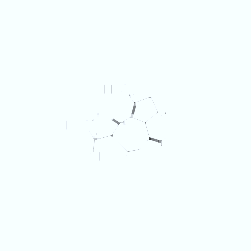 C=C1CCC(C(C)C)C(=O)C2=C(C)CCC12